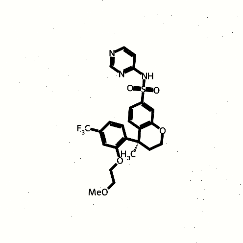 COCCOc1cc(C(F)(F)F)ccc1[C@]1(C)CCOc2cc(S(=O)(=O)Nc3ccncn3)ccc21